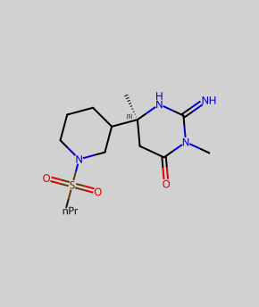 CCCS(=O)(=O)N1CCCC([C@]2(C)CC(=O)N(C)C(=N)N2)C1